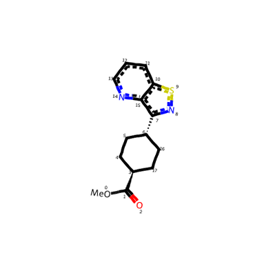 COC(=O)[C@H]1CC[C@H](c2nsc3cccnc32)CC1